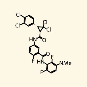 CNc1ccc(F)c(NC(=O)c2cc(NC(=O)[C@H]3[C@H](c4ccc(Cl)c(Cl)c4)C3(Cl)Cl)ccc2F)c1F